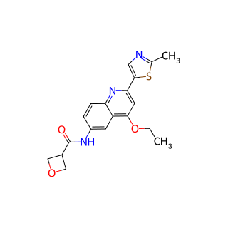 CCOc1cc(-c2cnc(C)s2)nc2ccc(NC(=O)C3COC3)cc12